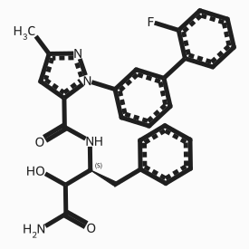 Cc1cc(C(=O)N[C@@H](Cc2ccccc2)C(O)C(N)=O)n(-c2cccc(-c3ccccc3F)c2)n1